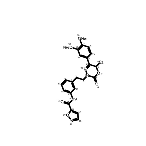 CCC1OC(=O)N(CCc2cccc(NC(=O)c3ccno3)c2)N=C1c1ccc(OC)c(OC)c1